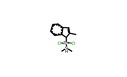 CC1=Cc2ccccc2[CH]1[Zr]([Cl])([Cl])[SiH](C)C